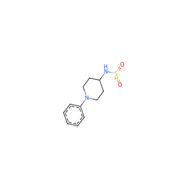 O=[SH](=O)NC1CCN(c2ccccc2)CC1